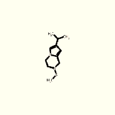 CSN1CCn2cc(C(C)C)cc2C1